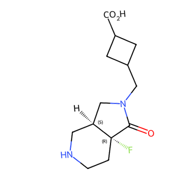 O=C(O)C1CC(CN2C[C@@H]3CNCC[C@]3(F)C2=O)C1